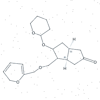 O=C1C[C@@H]2CC(OC3CCCCO3)C(COCC3=CC=CCO3)[C@@H]2C1